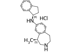 C[C@@H]1CNCCc2ccc(N[C@@H]3CCc4ccccc43)cc21.Cl